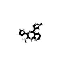 CNC1Nc2ncccc2C(c2cnn(C)c2)=NC1c1cccs1